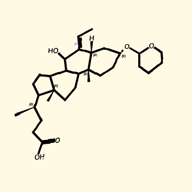 C/C=C1/C(O)C2C3CCC([C@H](C)CCC(=O)O)[C@@]3(C)CCC2[C@@]2(C)CC[C@@H](OC3CCCCO3)C[C@@H]12